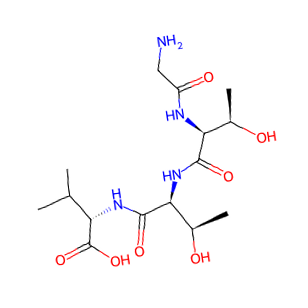 CC(C)[C@H](NC(=O)[C@@H](NC(=O)[C@@H](NC(=O)CN)[C@@H](C)O)[C@@H](C)O)C(=O)O